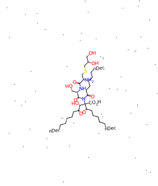 CCCCCCCCCCCCCCCC(=O)C(O)C(C(=O)O)(C(=O)CCCCCCCCCCCCCCC)N(C(=O)CCCCCCCCCCCCCCC)C(=O)C(CO)NC(=O)C(N)CSCC(O)CO